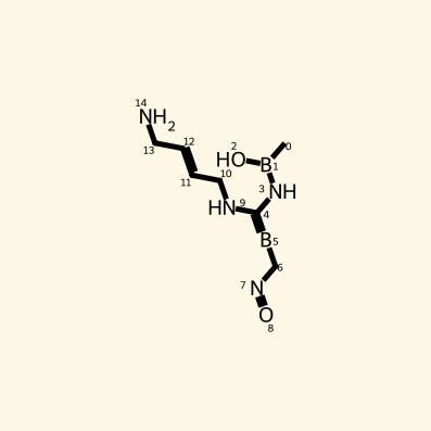 CB(O)N/C(=B\CN=O)NC/C=C/CN